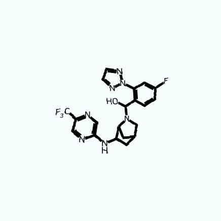 OC(c1ccc(F)cc1-n1nccn1)N1CC2CC(Nc3cnc(C(F)(F)F)cn3)C1C2